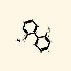 Nc1ccccc1-c1ccccc1Cl